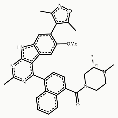 COc1cc2c(cc1-c1c(C)noc1C)[nH]c1nc(C)nc(-c3ccc(C(=O)N4CCN(C)[C@@H](C)C4)c4ccccc34)c12